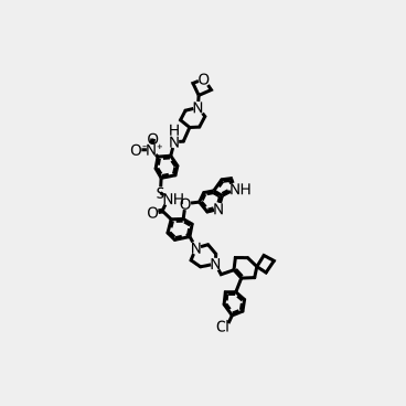 O=C(NSc1ccc(NCC2CCN(C3COC3)CC2)c([N+](=O)[O-])c1)c1ccc(N2CCN(CC3=C(c4ccc(Cl)cc4)CC4(CCC4)CC3)CC2)cc1Oc1cnc2[nH]ccc2c1